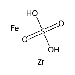 O=S(=O)(O)O.[Fe].[Zr]